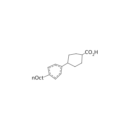 CCCCCCCCc1ccc(C2CCC(C(=O)O)CC2)cc1